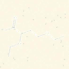 CCOCCC(OCC)C(C)=O